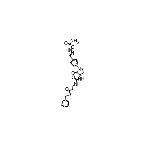 NC(=O)ONN=Cc1ccc(N2CC[C@H](NC(=O)NCCC(=O)OCc3ccccc3)C2=O)cc1